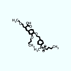 CCCCOc1cc(/C=C(/CCOCC)C(=O)O)ccc1OCCc1ccc(N(C)S(=O)(=O)CCCC)cc1